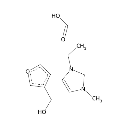 CCN1C=CN(C)C1.O=CO.OCc1ccoc1